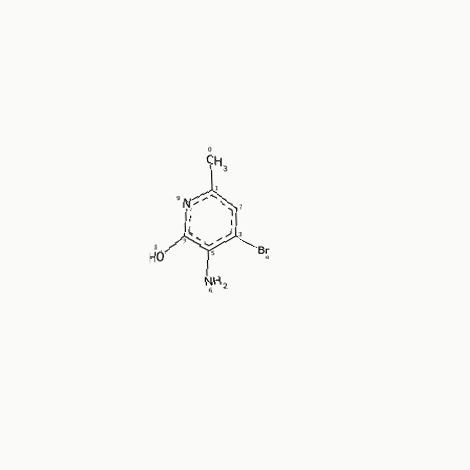 Cc1cc(Br)c(N)c(O)n1